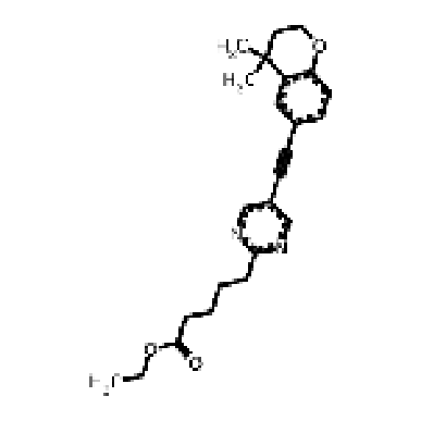 CCOC(=O)CCCCc1ncc(C#Cc2ccc3c(c2)C(C)(C)CCO3)cn1